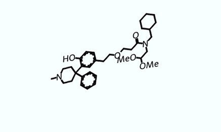 COC(CN(CC1CCCCC1)C(=O)CCOCCc1ccc(O)c(C2(c3ccccc3)CCN(C)CC2)c1)OC